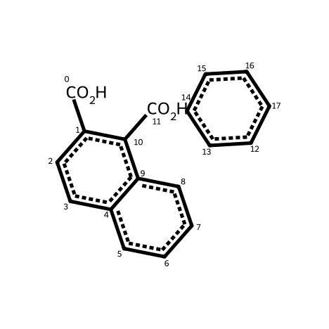 O=C(O)c1ccc2ccccc2c1C(=O)O.c1ccccc1